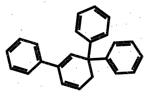 C1=CC(c2ccccc2)=CC(c2ccccc2)(c2ccccc2)C1